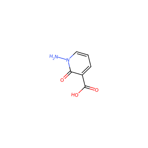 Nn1cccc(C(=O)O)c1=O